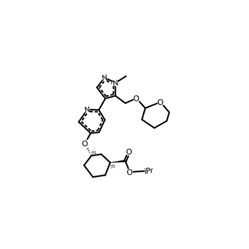 CC(C)OC(=O)[C@H]1CCC[C@H](Oc2ccc(-c3cnn(C)c3COC3CCCCO3)nc2)C1